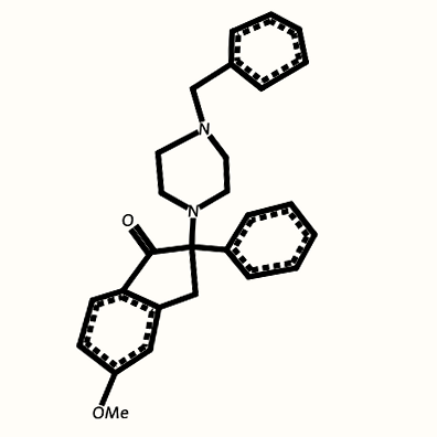 COc1ccc2c(c1)CC(c1ccccc1)(N1CCN(Cc3ccccc3)CC1)C2=O